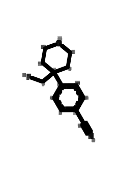 N#Cc1ccc(C2(CF)CCOCC2)cc1